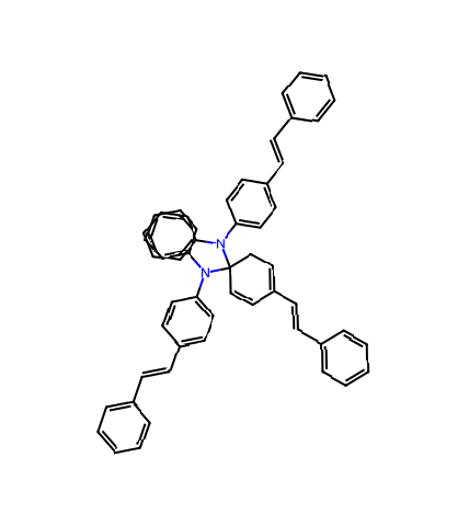 C(=Cc1ccccc1)C1=CCC(N(c2ccccc2)c2ccc(C=Cc3ccccc3)cc2)(N(c2ccccc2)c2ccc(C=Cc3ccccc3)cc2)C=C1